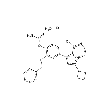 CCC.N[PH](=O)Oc1ccc(-c2nc(C3CCC3)n3ccnc(Cl)c23)cc1OCc1ccccc1